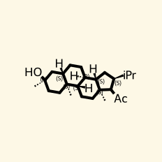 CC(=O)C1[C@H](C(C)C)C[C@H]2[C@@H]3CC[C@H]4C[C@](C)(O)CC[C@]4(C)[C@H]3CC[C@]12C